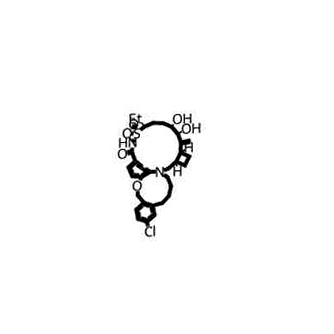 C=C1[C@H](O)[C@@H](O)CC[C@@H](CC)S(=O)(=O)NC(=O)c2ccc3c(c2)N(CCCCc2cc(Cl)ccc2CO3)C[C@@H]2CC[C@@H]12